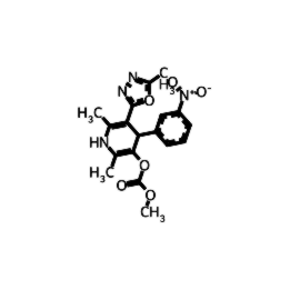 COC(=O)OC1=C(C)NC(C)=C(c2nnc(C)o2)C1c1cccc([N+](=O)[O-])c1